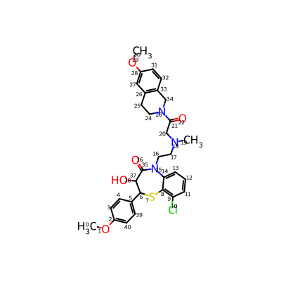 COc1ccc(C2Sc3c(Cl)cccc3N(CCN(C)CC(=O)N3CCc4cc(OC)ccc4C3)C(=O)C2O)cc1